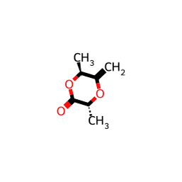 C=C1O[C@H](C)C(=O)O[C@H]1C